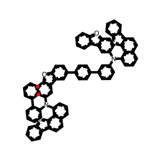 c1ccc(-c2ccccc2N(c2ccc3oc4ccc(-c5ccc(-c6cccc(N(c7ccc8oc9ccccc9c8c7)c7cccc8ccc9c%10ccccc%10sc9c78)c6)cc5)cc4c3c2)c2cccc3ccc4c5ccccc5sc4c23)cc1